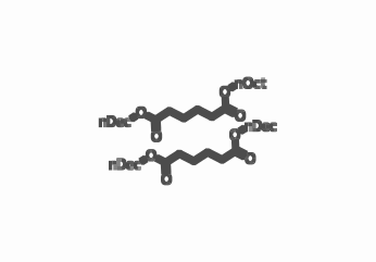 CCCCCCCCCCOC(=O)CCCCC(=O)OCCCCCCCC.CCCCCCCCCCOC(=O)CCCCC(=O)OCCCCCCCCCC